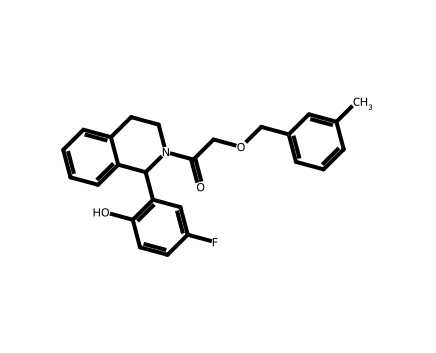 Cc1cccc(COCC(=O)N2CCc3ccccc3C2c2cc(F)ccc2O)c1